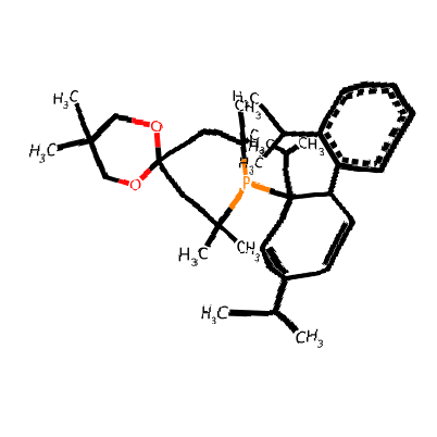 CC(C)C1=CC(C(C)C)(P2C(C)(C)CC3(CC2(C)C)OCC(C)(C)CO3)C(c2ccccc2C(C)C)C=C1